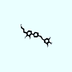 FCCCc1ccc(-c2ccc(CCc3cc(F)c(F)c(F)c3)cc2)c(F)c1F